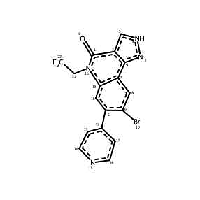 O=c1c2c[nH]nc2c2cc(Br)c(-c3ccncc3)cc2n1CC(F)(F)F